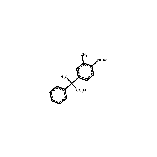 CC(=O)Nc1ccc(C(C)(C(=O)O)c2ccccc2)cc1C